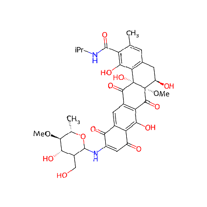 CO[C@H]1[C@H](C)OC(NC2=CC(=O)c3c(cc4c(c3O)C(=O)[C@]3(OC)[C@H](O)Cc5cc(C)c(C(=O)NC(C)C)c(O)c5[C@]3(O)C4=O)C2=O)C(CO)[C@@H]1O